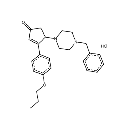 CCCOc1ccc(C2=CC(=O)CC2N2CCN(Cc3ccccc3)CC2)cc1.Cl